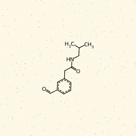 CC(C)CNC(=O)Cc1cccc(C=O)c1